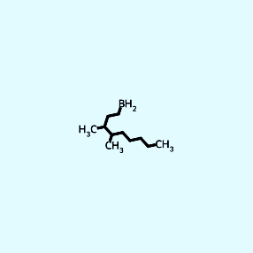 BCCC(C)C(C)CCCCC